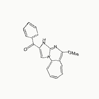 COC1=C2C=CC=CC=C2N2C=C(C(=O)c3ccccc3)NC2=N1